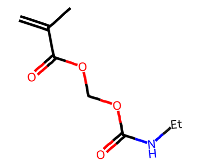 C=C(C)C(=O)OCOC(=O)NCC